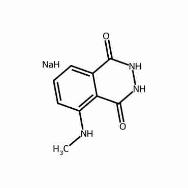 CNc1cccc2c(=O)[nH][nH]c(=O)c12.[NaH]